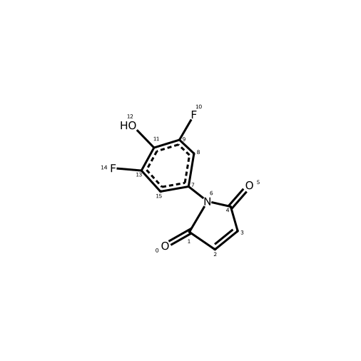 O=C1C=CC(=O)N1c1cc(F)c(O)c(F)c1